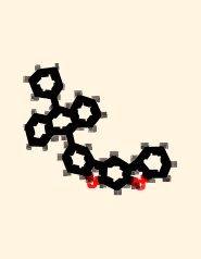 c1ccc(-c2c3ccccc3c(-c3ccc4oc5cc6oc7ccccc7c6cc5c4c3)c3ccccc23)cc1